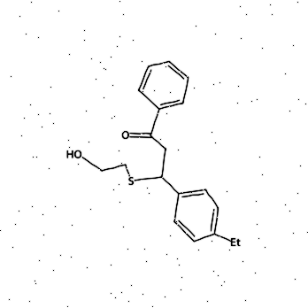 CCc1ccc(C(CC(=O)c2ccccc2)SCCO)cc1